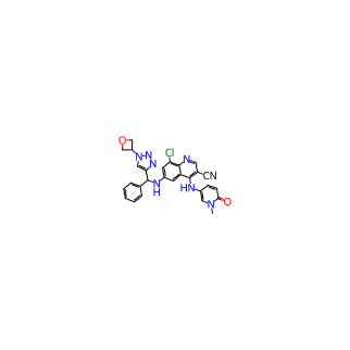 Cn1cc(Nc2c(C#N)cnc3c(Cl)cc(NC(c4ccccc4)c4cn(C5COC5)nn4)cc23)ccc1=O